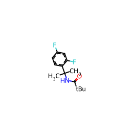 CC(C)(C)C(=O)NC(C)(C)c1ccc(F)cc1F